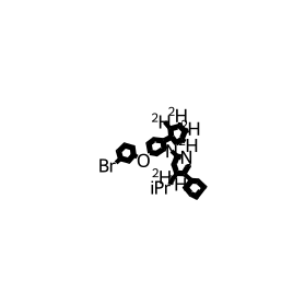 [2H]c1c([2H])c([2H])c2c(c1[2H])c1ccc(Oc3cccc(Br)c3)cc1n2-c1cc(C([2H])([2H])C(C)C)c(-c2ccccc2)cn1